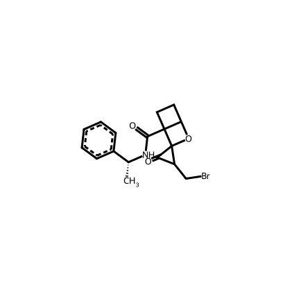 C[C@@H](NC(=O)C12CCC1OC21C(=O)C1CBr)c1ccccc1